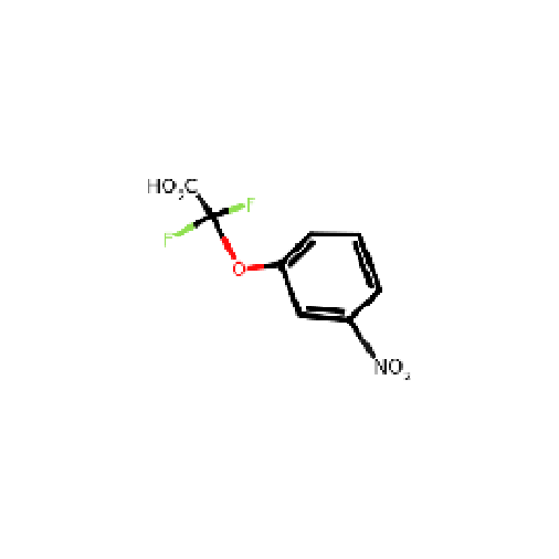 O=C(O)C(F)(F)Oc1cccc([N+](=O)[O-])c1